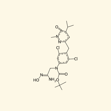 CC(C)c1cc(Cc2c(Cl)cc(N(C/C(N)=N/O)C(=O)OC(C)(C)C)cc2Cl)nn(C)c1=O